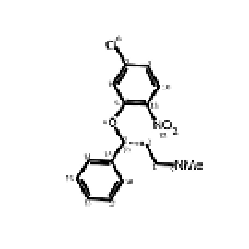 CNCC[C@@H](Oc1cc(Cl)ccc1[N+](=O)[O-])c1ccccc1